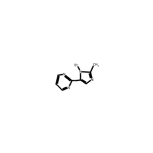 CCn1c(-c2ncccn2)cnc1C